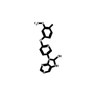 Cc1ccc(Oc2ccc(N3c4ncncc4NC3O)cn2)cc1OC(F)(F)F